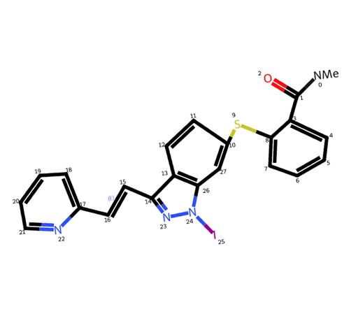 CNC(=O)c1ccccc1Sc1ccc2c(/C=C/c3ccccn3)nn(I)c2c1